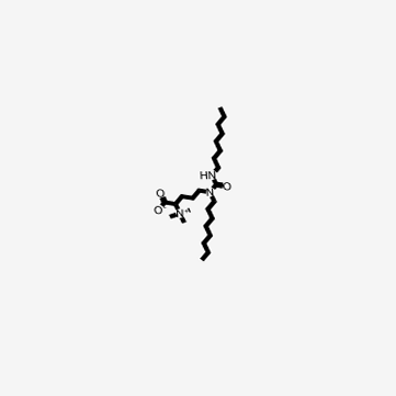 CCCCCCCCNC(=O)N(CCCCCCCC)CCCC(C(=O)[O-])[N+](C)(C)C